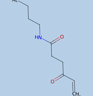 C=CC(=O)CCC(=O)NCCCC(C)=O